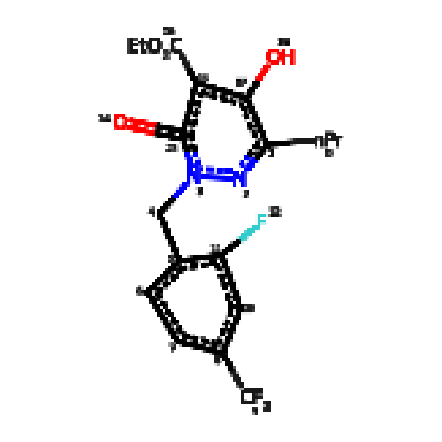 CCCc1nn(Cc2ccc(C(F)(F)F)cc2F)c(=O)c(C(=O)OCC)c1O